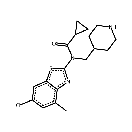 Cc1cc(Cl)cc2sc(N(CC3CCNCC3)C(=O)C3CC3)nc12